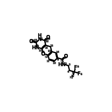 O=C(NCCC(F)(F)F)c1ccc2c(c1)Cc1c([nH]c(=O)[nH]c1=O)O2